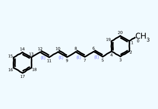 Cc1ccc(/C=C/C=C/C=C/C=C/c2ccccc2)cc1